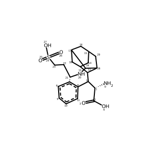 N[C@H](C(=O)O)C(c1ccccc1)C1C2CC3CC(C2)C(NCCCS(=O)(=O)O)C1C3